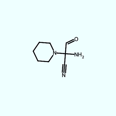 N#CC(N)(C=O)N1CCCCC1